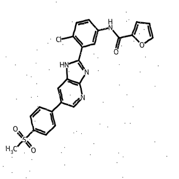 CS(=O)(=O)c1ccc(-c2cnc3nc(-c4cc(NC(=O)c5ccco5)ccc4Cl)[nH]c3c2)cc1